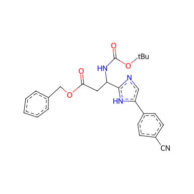 CC(C)(C)OC(=O)NC(CC(=O)OCc1ccccc1)c1ncc(-c2ccc(C#N)cc2)[nH]1